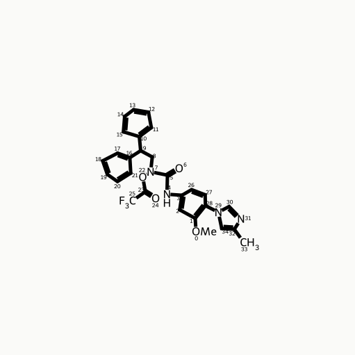 COc1cc(NC(=O)N(CC(c2ccccc2)c2ccccc2)OC(=O)C(F)(F)F)ccc1-n1cnc(C)c1